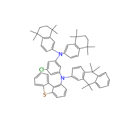 CC1(C)CCC(C)(C)c2cc(N(c3cc(Cl)cc(N(c4ccc5c(c4)C(C)(C)c4ccccc4C5(C)C)c4cccc5sc6ccccc6c45)c3)c3ccc4c(c3)C(C)(C)CCC4(C)C)ccc21